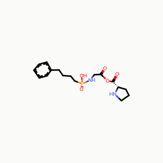 O=C(CNP(=O)(O)CCCCc1ccccc1)OC(=O)[C@@H]1CCCN1